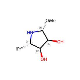 CO[C@H]1N[C@@H](C(C)C)[C@H](O)[C@@H]1O